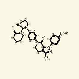 COc1ccc(-n2nc(C(F)(F)F)c3c2C(=O)N(c2ccc(N4CCCNC4N4CCCCC4=O)cc2)CC3)cc1